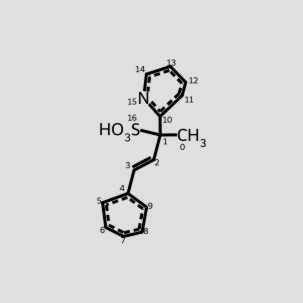 CC(C=Cc1ccccc1)(c1ccccn1)S(=O)(=O)O